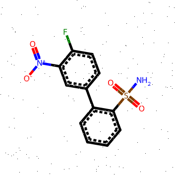 NS(=O)(=O)c1ccccc1-c1ccc(F)c([N+](=O)[O-])c1